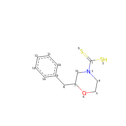 S=C(S)N1CCOC(Cc2ccccc2)C1